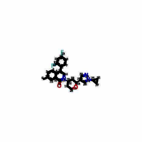 Cc1ccc2c(-c3ccc(F)cc3F)cn([C@H]3CCO[C@H](c4cnn(C5CC5)c4)C3)c(=O)c2c1